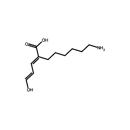 NCCCCCC/C(=C\C=C\O)C(=O)O